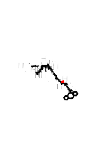 CC(C)[C@H](NC(=O)CCOCCC(=O)NCC12CC(C(=O)NCCC(=O)N3Cc4ccccc4C#Cc4ccccc43)(C1)C2)C(=O)N[C@@H](CCCCN)C(=O)NCC(N)=O